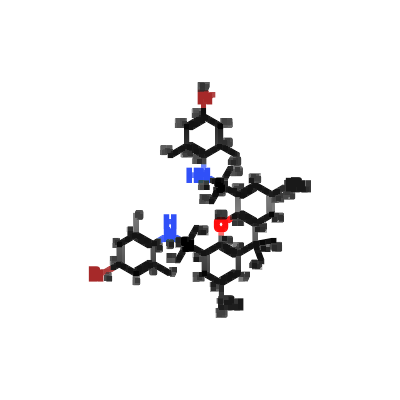 Cc1cc(Br)cc(C)c1N[Si](C)(C)c1cc(C(C)(C)C)cc2c1Oc1c(cc(C(C)(C)C)cc1[Si](C)(C)Nc1c(C)cc(Br)cc1C)C2(C)C